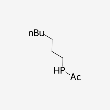 CCCCCCCPC(C)=O